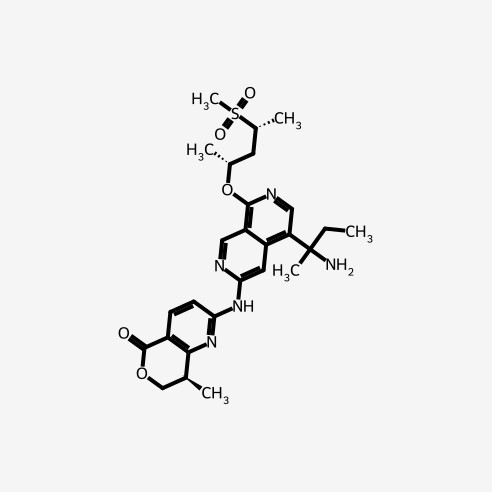 CCC(C)(N)c1cnc(O[C@H](C)C[C@@H](C)S(C)(=O)=O)c2cnc(Nc3ccc4c(n3)[C@@H](C)COC4=O)cc12